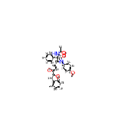 COc1ccc(N2C(=O)[C@](NC(C)=O)(c3ccccc3)[C@H]2C=CC(=O)C2Cc3ccccc3O2)cc1